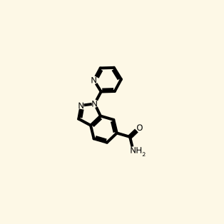 NC(=O)c1ccc2cnn(-c3ccccn3)c2c1